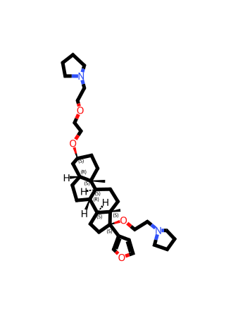 C[C@]12CC[C@H](OCCOCCN3CCCC3)C[C@H]1CC[C@@H]1[C@@H]2CC[C@@]2(C)[C@H]1CC[C@@]2(OCCN1CCCC1)c1ccoc1